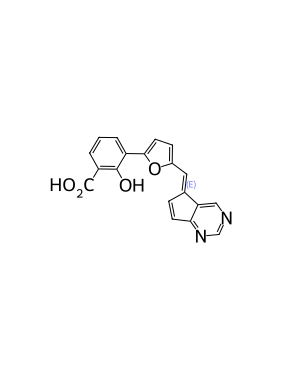 O=C(O)c1cccc(-c2ccc(/C=C3\C=Cc4ncncc43)o2)c1O